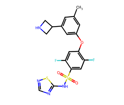 Cc1cc(Oc2cc(F)c(S(=O)(=O)Nc3ncns3)cc2F)cc(C2CNC2)c1